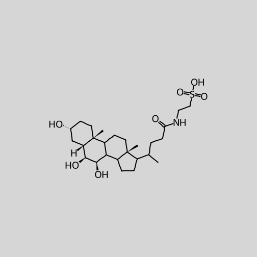 CC(CCC(=O)NCCS(=O)(=O)O)C1CCC2C3C(CC[C@]12C)[C@@]1(C)CC[C@@H](O)C[C@H]1[C@H](O)[C@@H]3O